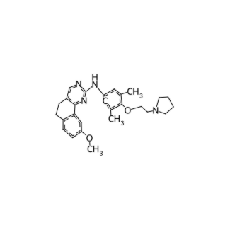 COc1ccc2c(c1)-c1nc(Nc3cc(C)c(OCCN4CCCC4)c(C)c3)ncc1CC2